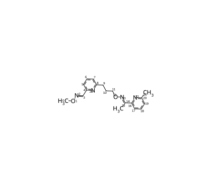 CO/N=C/c1cccc(CCCO/N=C(\C)c2cccc(C)n2)n1